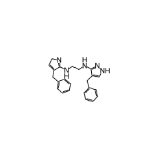 C1=C(Cc2ccccc2)C(NCCNc2n[nH]cc2Cc2ccccc2)=NC1